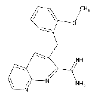 COc1ccccc1Cc1cc2cccnc2nc1C(=N)N